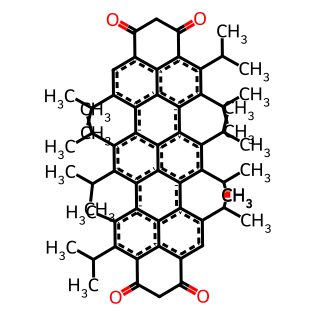 Cc1c(C(C)C)c2c3c(cc(C(C)C)c4c5c(C(C)C)c(C(C)C)c6c7c(C(C)C)c(C(C)C)c8c9c(cc(C(C)C)c(c%10c(C(C)C)c(C(C)C)c(c1c34)c5c%106)c97)C(=O)CC8=O)C(=O)CC2=O